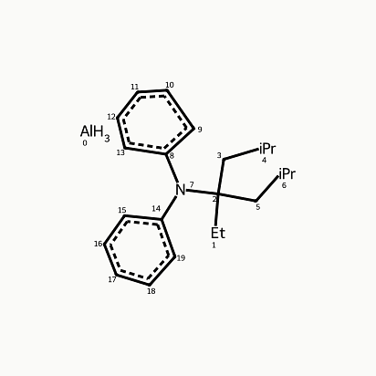 [AlH3].[CH2]CC(CC(C)C)(CC(C)C)N(c1ccccc1)c1ccccc1